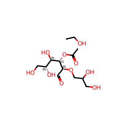 CC(=O)O[C@@H]([C@H](O)[C@H](O)CO)[C@H](C=O)OCC(O)CO.CCO